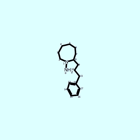 NN1CCCCCCC1CCCc1ccccc1